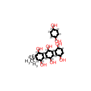 CCC.CCC.Oc1ccc(O)cc1.Oc1ccc(O)cc1.Oc1ccc(O)cc1.Oc1ccc(O)cc1